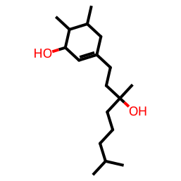 CC(C)CCCC(C)(O)CCC1=CC(O)C(C)C(C)C1